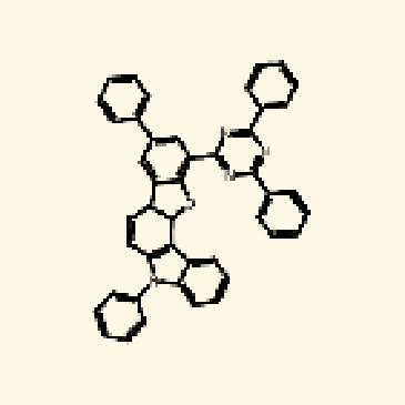 C1=CC2c3cc(-c4ccccc4)cc(-c4nc(-c5ccccc5)nc(-c5ccccc5)n4)c3OC2c2c1n(-c1ccccc1)c1ccccc21